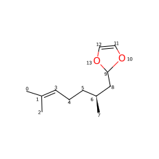 CC(C)=CCC[C@H](C)CC1OC=CO1